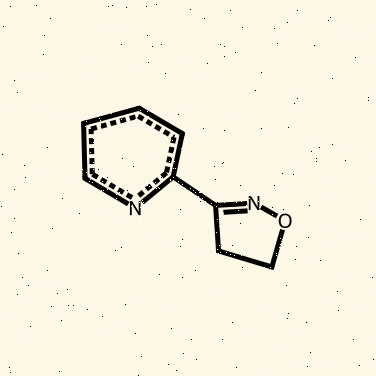 c1ccc(C2=NOCC2)nc1